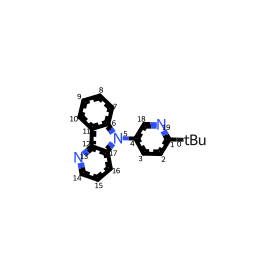 CC(C)(C)c1ccc(-n2c3ccccc3c3ncccc32)cn1